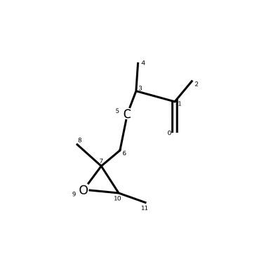 C=C(C)C(C)CCC1(C)OC1C